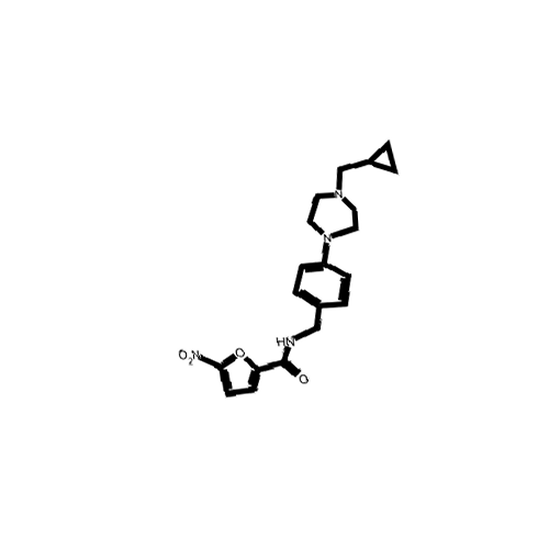 O=C(NCc1ccc(N2CCN(CC3CC3)CC2)cc1)c1ccc([N+](=O)[O-])o1